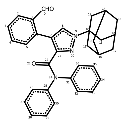 O=Cc1ccccc1-c1cn(C23CC4CC(CC(C4)C2)C3)nc1C(=O)N(c1ccccc1)c1ccccc1